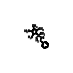 CC1=C(C)C(C)C([Si](C)(C)NCc2ccccc2)=C1C